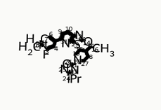 C=N/C(F)=C\C(=C/C)c1ccc2nc(O[C@@H](C)C3CCN(c4nc(C(C)C)no4)CC3)sc2n1